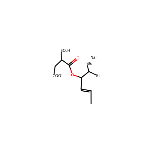 CC=CC(OC(=O)C(CC(=O)[O-])S(=O)(=O)O)C(CC)CCCC.[Na+]